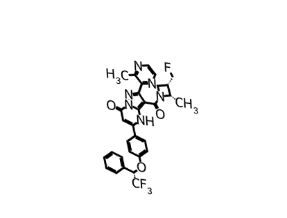 Cc1nccnc1-c1nn2c(=O)cc(-c3ccc(O[C@@H](c4ccccc4)C(F)(F)F)cc3)[nH]c2c1C(=O)N1C[C@H](CF)[C@@H]1C